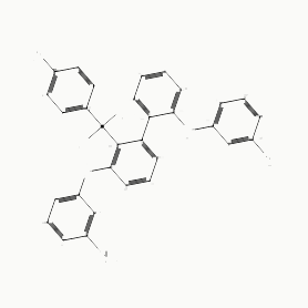 CC(C)(c1ccc(N)cc1)c1c(Oc2cccc(N)c2)cccc1-c1ccccc1Oc1cccc(N)c1